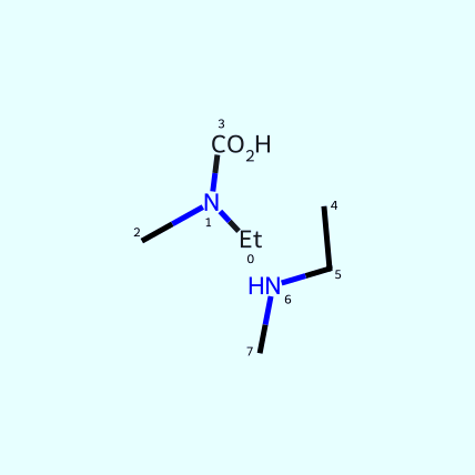 CCN(C)C(=O)O.CCNC